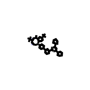 C=C1/C=C(C(C)(C)C)\C=C/CN(c2ccc(-c3cccc(-c4nc(-c5ccccc5)cc(-c5ccccc5)n4)c3)cc2)c2ccc(C(C)(C)C)cc21